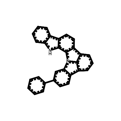 c1ccc(-c2ccc3c4cccc5c6ccc7c8ccccc8[nH]c7c6n(c3c2)c45)cc1